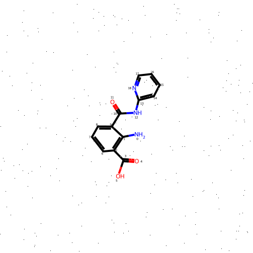 Nc1c(C(=O)O)cccc1C(=O)Nc1ccccn1